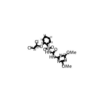 COc1nc(NC(=O)NS(=O)(=O)c2ccccc2OC(Cl)=CCl)nc(OC)n1